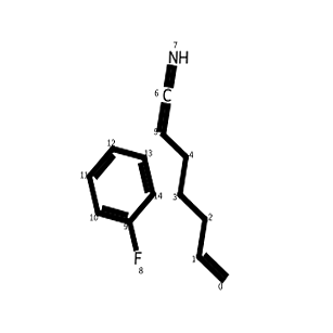 C=CCCCC=C=N.Fc1ccccc1